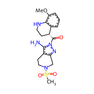 COc1cccc2c1NCC[C@H]2C(=O)n1nc2c(c1N)CCN(S(C)(=O)=O)C2